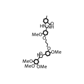 COc1cc(C2NC(=O)c3cc(C)ccc3N2)ccc1OCCCCOc1cc(C2CC(c3cc(OC)c(OC)c(OC)c3)=NO2)ccc1OC